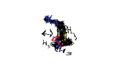 Cc1cc(C)c(CN2CCc3sc([C@H](C)[C@H]4CC[C@H](N5CC(n6cccn6)C5)CC4)c(C)c3C2=O)c(OCc2ccccc2)n1